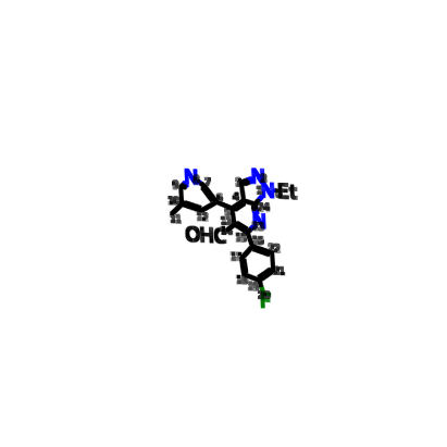 CCn1ncc2c(-c3cncc(C)c3)c(C=O)c(-c3ccc(F)cc3)nc21